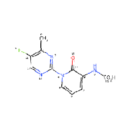 Cc1nc(-n2cccc(NC(=O)O)c2=O)ncc1F